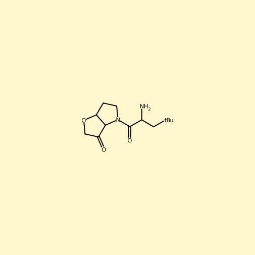 CC(C)(C)CC(N)C(=O)N1CCC2OCC(=O)C21